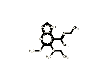 CCN=C(N)c1c(N(C)CC)c(OC)nc2nc[nH]c12